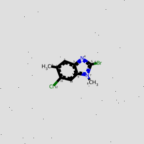 Cc1cc2nc(Br)n(C)c2cc1Cl